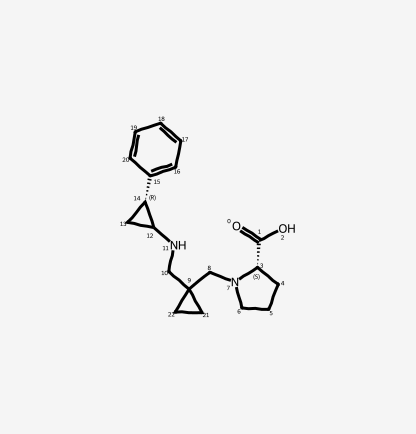 O=C(O)[C@@H]1CCCN1CC1(CNC2C[C@@H]2c2ccccc2)CC1